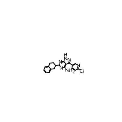 Nc1nc(C2CCc3ccccc3C2)nc2[nH]nc(-c3ccc(Cl)nc3)c12